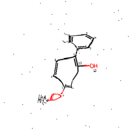 COc1ccc(-c2ccccc2)c(O)c1